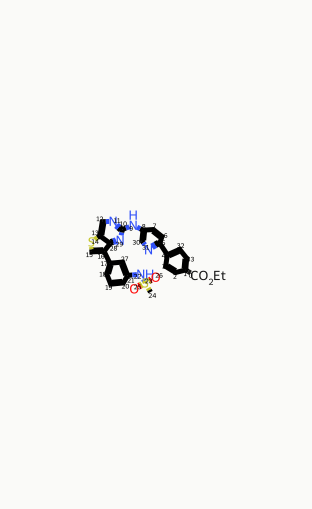 CCOC(=O)c1ccc(-c2ccc(Nc3ncc4scc(-c5cccc(NS(C)(=O)=O)c5)c4n3)cn2)cc1